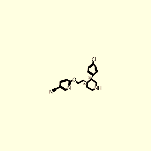 N#Cc1ccc(OCC[C@@H]2CCNC[C@@H]2c2ccc(Cl)cc2)nc1